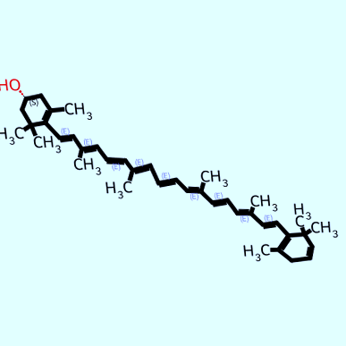 CC1=C(/C=C/C(C)=C/C=C/C(C)=C/C=C/C=C(C)/C=C/C=C(C)/C=C/C2=C(C)C[C@@H](O)CC2(C)C)C(C)(C)C=CC1